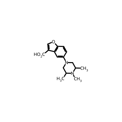 CC1CN(c2ccc3occ(C(=O)O)c3c2)CC(C)N1C